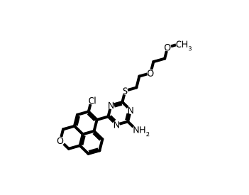 COCCOCCSc1nc(N)nc(-c2c(Cl)cc3c4c(cccc24)COC3)n1